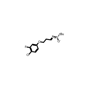 CC(C)(C)[S@@+]([O-])N=CCCOc1ccc(Cl)c(F)c1